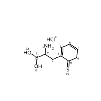 Cl.NC(CC1=CC=CCC1=S)B(O)O